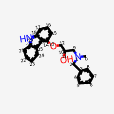 CN(Cc1ccccc1)CC(O)COc1cccc2[nH]c3ccccc3c12